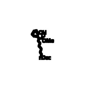 CCCCCCCCCCCCCCCCC(C(=O)OC)c1ccccc1O